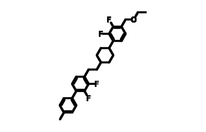 CCOCc1ccc(C2CCC(CCc3ccc(-c4ccc(C)cc4)c(F)c3F)CC2)c(F)c1F